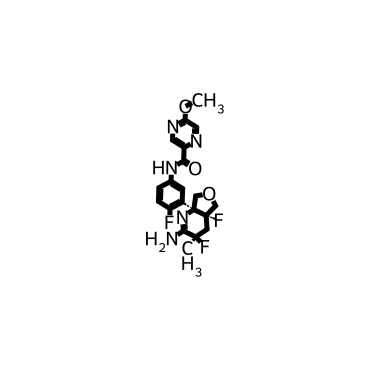 COc1cnc(C(=O)Nc2ccc(F)c([C@]34COC[C@@]3(F)C[C@](C)(F)C(N)=N4)c2)cn1